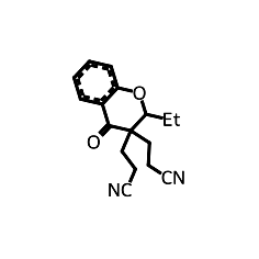 CCC1Oc2ccccc2C(=O)C1(CCC#N)CCC#N